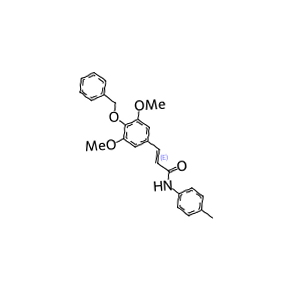 COc1cc(/C=C/C(=O)Nc2ccc(C)cc2)cc(OC)c1OCc1ccccc1